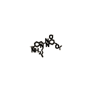 C=CCCCn1c(-c2nc3cc(COC(C)C)cc(OC)c3n2C)cc2ccc([C@@H](C)N)cc21